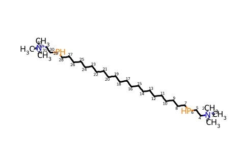 C[N+](C)(C)CCPCCCCCCCCCCCCCCCCCCCCCCPCC[N+](C)(C)C